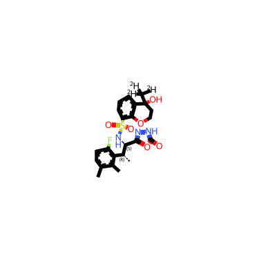 [2H]C([2H])([2H])C1(O)CCOc2c1cccc2S(=O)(=O)N[C@H](c1n[nH]c(=O)o1)[C@H](C)c1c(F)ccc(C)c1C